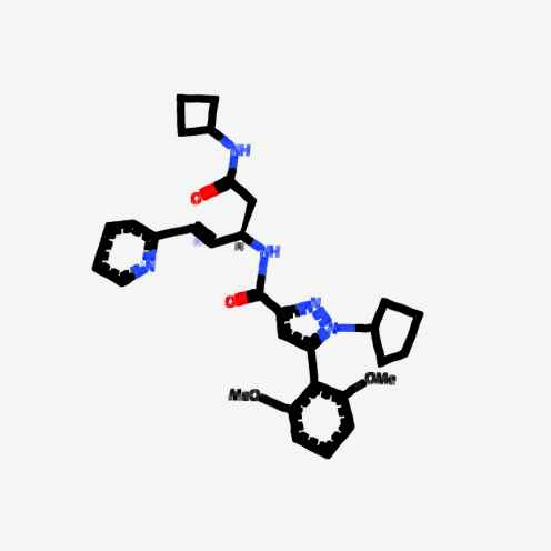 COc1cccc(OC)c1-c1cc(C(=O)N[C@@H](/C=C/c2ccccn2)CC(=O)NC2CCC2)nn1C1CCCC1